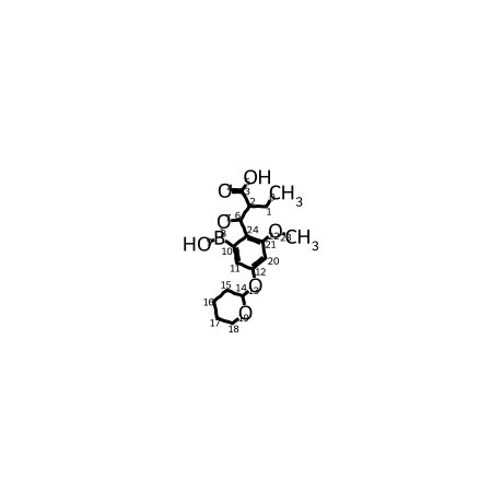 CCC(C(=O)O)C1OB(O)c2cc(OC3CCCCO3)cc(OC)c21